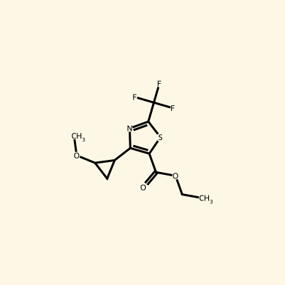 CCOC(=O)c1sc(C(F)(F)F)nc1C1CC1OC